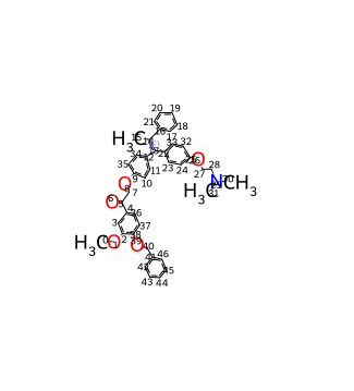 COc1cc(C(=O)COc2ccc(/C(=C(\C)c3ccccc3)c3ccc(OCCN(C)C)cc3)cc2)ccc1OCc1ccccc1